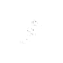 Cn1nnc(-c2ccnc(NC3CCC(O)CC3)n2)c1CC1CC1